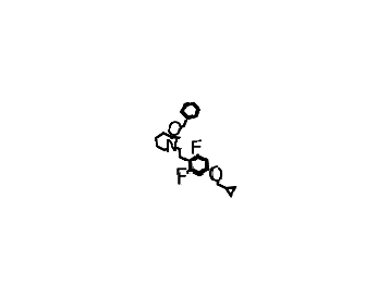 CC1(OCc2ccccc2)CCCCN1CCc1c(F)cc(OCC2CC2)cc1F